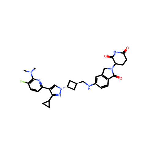 CN(C)c1nc(-c2cn([C@H]3C[C@H](CNc4ccc5c(c4)CN(C4CCC(=O)NC4=O)C5=O)C3)nc2C2CC2)ccc1F